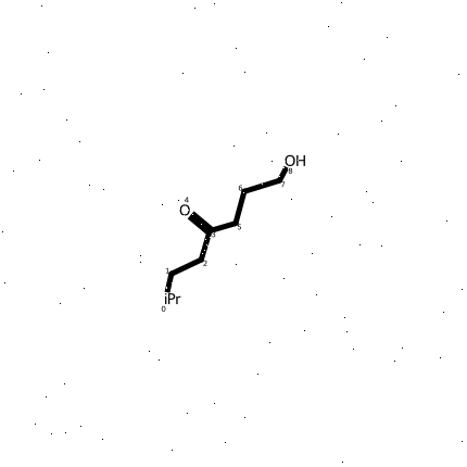 CC(C)CCC(=O)CCCO